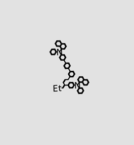 CC/C=C(\C=C/Cc1cccc(-c2ccc(-c3ccc(N(c4ccccc4)c4cccc5ccccc45)cc3)cc2)c1)c1ccc(N(c2ccccc2)c2cccc3ccccc23)cc1